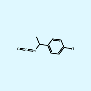 CC(N=C=O)c1ccc(Cl)cc1